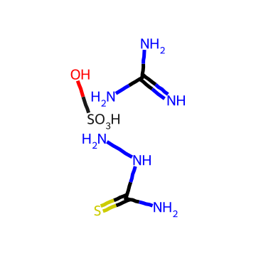 N=C(N)N.NNC(N)=S.O=S(=O)(O)O